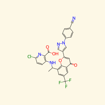 CC(Nc1ccc(Cl)nc1C(=O)O)c1cc(C(F)(F)F)cc2c(=O)cc(-c3cnn(-c4ccc(C#N)cc4)c3)oc12